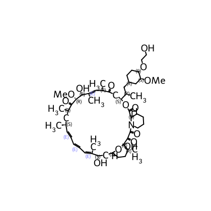 CO[C@H]1C[C@@H](C[C@@H](C)[C@@H]2CC(=O)[C@H](C)/C=C(\C)[C@@H](O)[C@@H](OC)C(=O)[C@H](C)C[C@H](C)/C=C/C=C/C=C(\C)[C@@H](O)C[C@@H]3CC[C@@H](C)[C@@](O)(O3)C(=O)C(=O)N3CCCC[C@H]3C(=O)O2)CC[C@@H]1OCCO